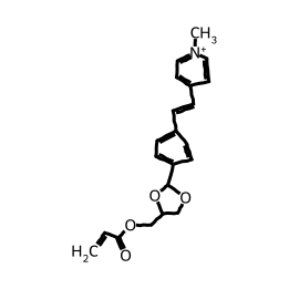 C=CC(=O)OCC1COC(c2ccc(C=Cc3cc[n+](C)cc3)cc2)O1